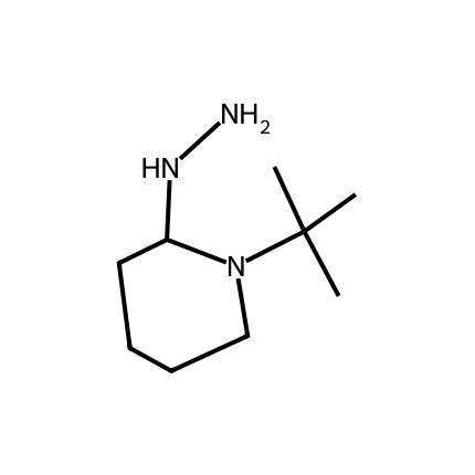 CC(C)(C)N1CCCCC1NN